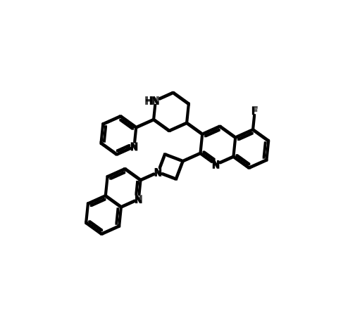 Fc1cccc2nc(C3CN(c4ccc5ccccc5n4)C3)c(C3CCNC(c4ccccn4)C3)cc12